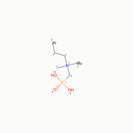 CCC(C)[N+](C)(CCC(C)C)CP(=O)(O)O